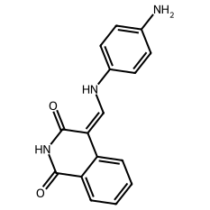 Nc1ccc(NC=C2C(=O)NC(=O)c3ccccc32)cc1